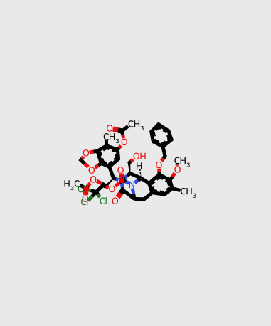 COc1c(C)cc2c(c1OCc1ccccc1)[C@@H]1[C@H](CO)N([C@@H](COC(C)=O)c3cc(OC(C)=O)c(C)c4c3OCO4)C(=O)C(C2)N1C(=O)OCC(Cl)(Cl)Cl